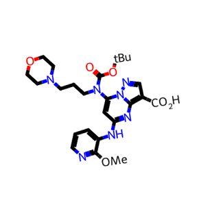 COc1ncccc1Nc1cc(N(CCCN2CCOCC2)C(=O)OC(C)(C)C)n2ncc(C(=O)O)c2n1